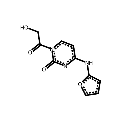 O=C(CO)n1ccc(Nc2ccco2)nc1=O